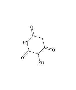 O=C1CC(=O)N(S)C(=O)N1